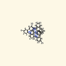 Cc1ccc2c(c1)c1cc(C)ccc1n2-c1cccc(-n2c3ccc(C)cc3c3cc(C)ccc32)c1-c1cnc2c3ccccc3c3ccccc3c2n1